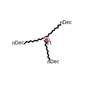 CCCCCCCCCCCCCCCCCCCC[Si](CCCCCCCCCCCCCCCCCCCC)(CCCCCCCCCCCCCCCCCCCC)OCC